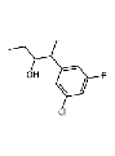 [CH2]C(c1cc(F)cc(Cl)c1)C(O)CC